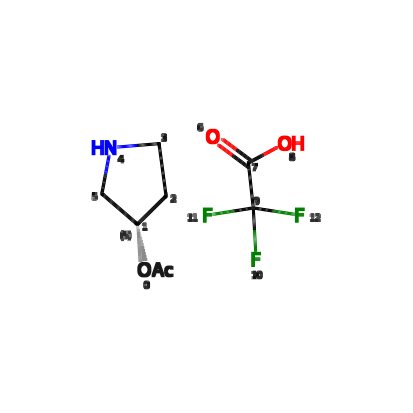 CC(=O)O[C@H]1CCNC1.O=C(O)C(F)(F)F